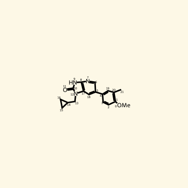 COc1ccc(-c2cnc3[nH]c(=O)n(CC4CC4)c3c2)cc1C